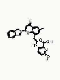 COc1ccc(NCCc2cc(C)cc3c(=O)cc(N4Cc5ccccc5C4)oc23)c(C(=O)O)n1